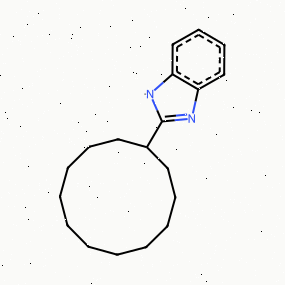 c1ccc2c(c1)[N]C(C1CCCCCCCCCCC1)=N2